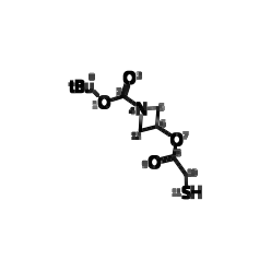 CC(C)(C)OC(=O)N1CC(OC(=O)CS)C1